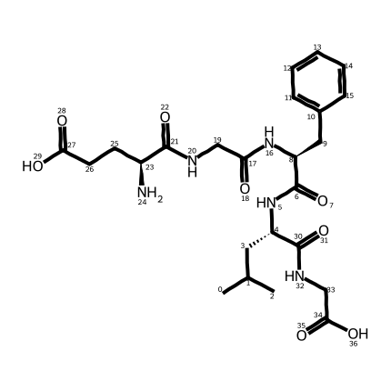 CC(C)C[C@H](NC(=O)[C@H](Cc1ccccc1)NC(=O)CNC(=O)[C@@H](N)CCC(=O)O)C(=O)NCC(=O)O